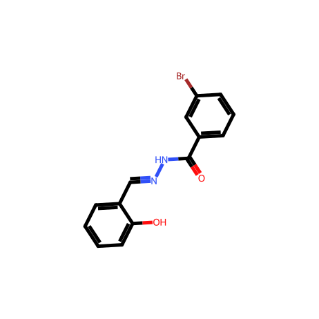 O=C(N/N=C/c1ccccc1O)c1cccc(Br)c1